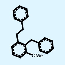 COc1[c]ccc(CCc2ccccc2)c1Cc1ccccc1